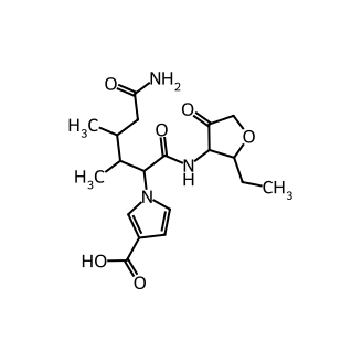 CCC1OCC(=O)C1NC(=O)C(C(C)C(C)CC(N)=O)n1ccc(C(=O)O)c1